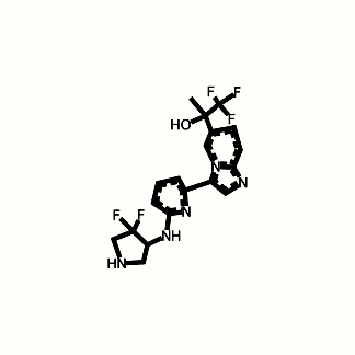 CC(O)(c1ccc2ncc(-c3cccc(NC4CNCC4(F)F)n3)n2c1)C(F)(F)F